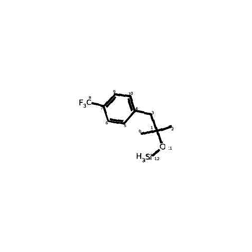 CC(C)(Cc1ccc(C(F)(F)F)cc1)O[SiH3]